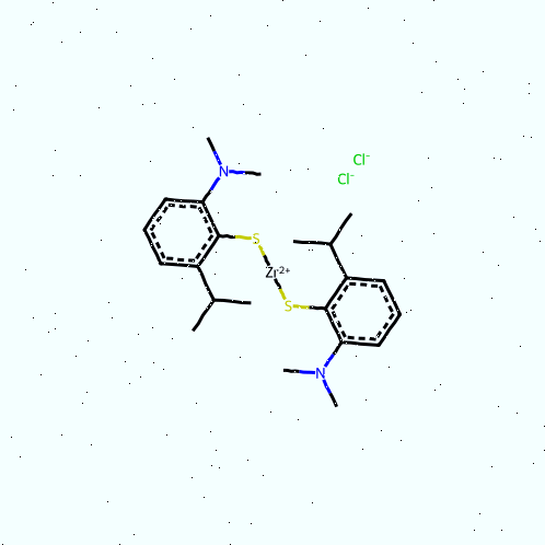 CC(C)c1cccc(N(C)C)c1[S][Zr+2][S]c1c(C(C)C)cccc1N(C)C.[Cl-].[Cl-]